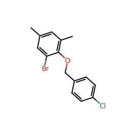 Cc1cc(C)c(OCc2ccc(Cl)cc2)c(Br)c1